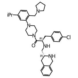 CC(C)c1ccc(CN2CCCC2)c(N2CCN(C(=O)[C@@H](Cc3ccc(Cl)cc3)NC[C@H]3Cc4ccccc4CN3)CC2)c1